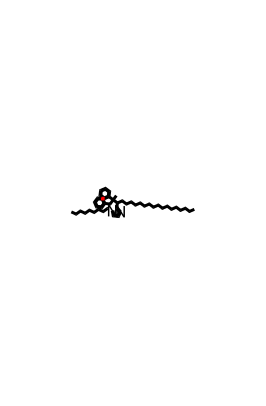 CCCCCCCCCCCCCCCCCC(c1nccn1CCCCCCCCC)C(C)(Cc1ccccc1)c1ccccc1